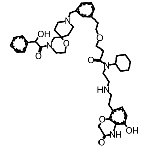 O=C1COc2c(CCNCCN(C(=O)CCOCCc3cccc(CN4CCC5(CC4)CN(C(=O)C(O)c4ccccc4)CCO5)c3)C3CCCCC3)ccc(O)c2N1